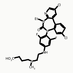 CCN1C(=O)N(c2c(F)cc(NCCN(C)CCCC(=O)O)cc2F)c2cc(Cl)ccc2-c2cc(Cl)cnc21